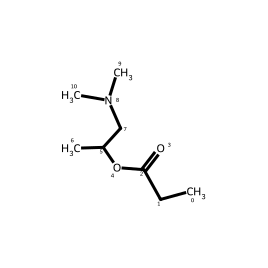 CCC(=O)OC(C)CN(C)C